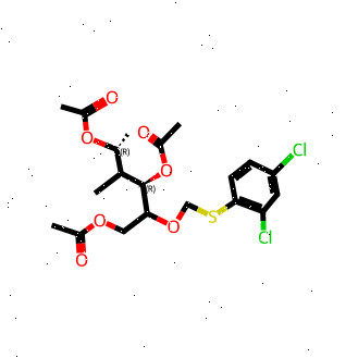 CC(=O)OCC(OCSc1ccc(Cl)cc1Cl)[C@H](OC(C)=O)C(C)[C@@H](C)OC(C)=O